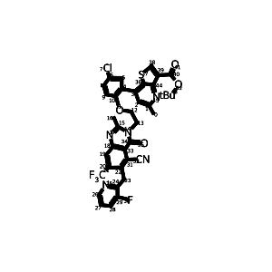 Cc1cc(-c2cc(Cl)ccc2OCCn2c(C)nc3cc(C(F)(F)F)c(Cc4ncccc4F)c(C#N)c3c2=O)c2scc(C(=O)OC(C)(C)C)c2n1